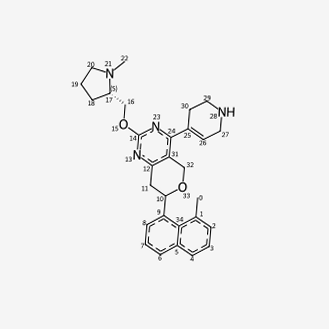 Cc1cccc2cccc(C3Cc4nc(OC[C@@H]5CCCN5C)nc(C5=CCNCC5)c4CO3)c12